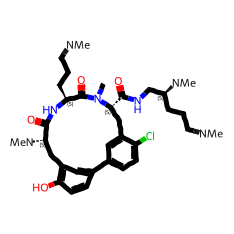 CNCCC[C@@H](CNC(=O)[C@@H]1Cc2cc(ccc2Cl)-c2ccc(O)c(c2)C[C@H](NC)C(=O)N[C@@H](CCCNC)C(=O)N1C)NC